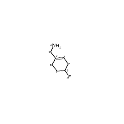 NCC1=CCC(F)CC1